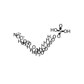 O.O.O.O.O.O.O.O.O.O.O.O.O.O=S(=O)(O)O.[Cl-].[Cl-].[Ni+2]